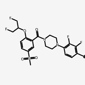 CS(=O)(=O)c1ccc(OC(CF)CF)c(C(=O)N2CCN(c3ccc(C#N)c(F)c3F)CC2)c1